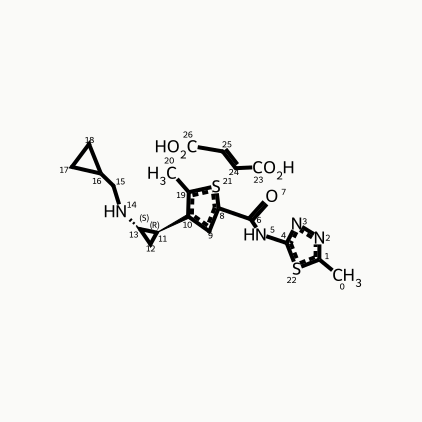 Cc1nnc(NC(=O)c2cc([C@H]3C[C@@H]3NCC3CC3)c(C)s2)s1.O=C(O)C=CC(=O)O